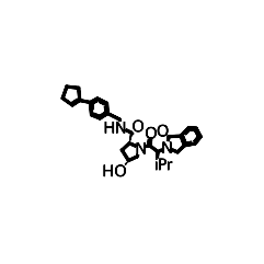 CC(C)C(C(=O)N1C[C@H](O)C[C@H]1C(=O)NCc1ccc(C2=CCCC2)cc1)N1Cc2ccccc2C1=O